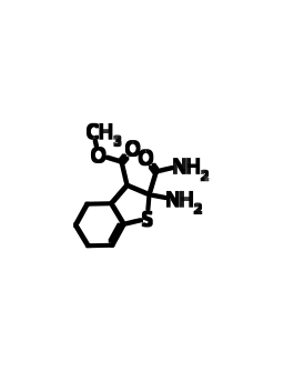 COC(=O)C1C2CCCC=C2SC1(N)C(N)=O